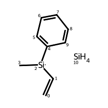 C=C[Si](C)c1ccccc1.[SiH4]